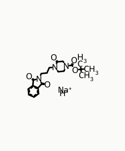 CC(C)(C)OC(=O)N1CCN(CCCN2C(=O)c3ccccc3C2=O)C(=O)C1.[H-].[Na+]